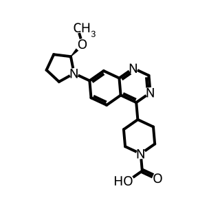 CO[C@@H]1CCCN1c1ccc2c(C3CCN(C(=O)O)CC3)ncnc2c1